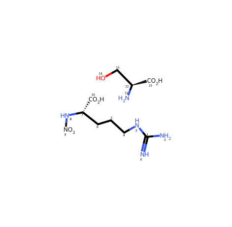 N=C(N)NCCC[C@H](N[N+](=O)[O-])C(=O)O.N[C@@H](CO)C(=O)O